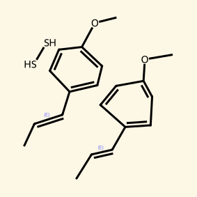 C/C=C/c1ccc(OC)cc1.C/C=C/c1ccc(OC)cc1.SS